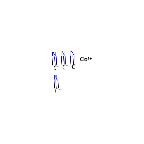 [C-]#N.[C-]#N.[C-]#N.[C-]#N.[Os+4]